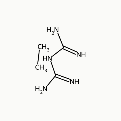 CC.N=C(N)NC(=N)N